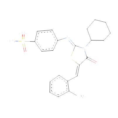 COc1ccccc1C=C1S/C(=N\c2ccc(S(N)(=O)=O)cc2)N(C2CCCCC2)C1=O